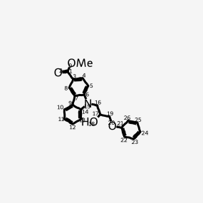 COC(=O)c1ccc2c(c1)c1ccccc1n2CC(O)COc1ccccc1